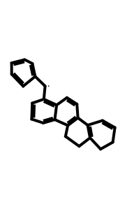 [CH](c1ccccc1)c1cccc2c3c(ccc12)C1=C(CCC=C1)CC3